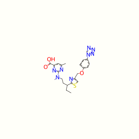 CCC(CCN(C)c1nc(C)cc(C(=O)O)n1)c1nc(COc2ccc(-n3cnnn3)cc2)cs1